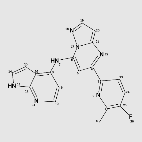 Cc1nc(-c2cc(Nc3ccnc4[nH]ccc34)n3nccc3n2)ccc1F